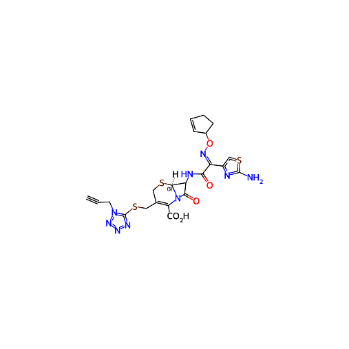 C#CCn1nnnc1SCC1=C(C(=O)O)N2C(=O)C(NC(=O)C(=NOC3C=CCC3)c3csc(N)n3)[C@@H]2SC1